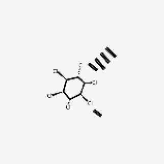 C=C.C=C.C=C.C=C.C=C.Cl[C@H]1[C@H](Cl)[C@@H](Cl)[C@@H](Cl)[C@H](Cl)[C@H]1Cl